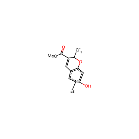 CCc1cc2c(cc1O)OC(C(F)(F)F)C(C(=O)OC)=C2